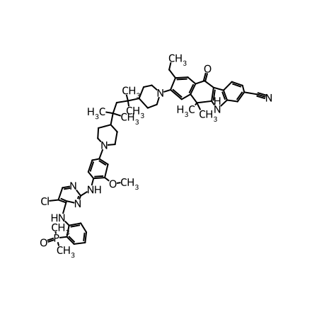 CCc1cc2c(cc1N1CCC(C(C)(C)CC(C)(C)C3CCN(c4ccc(Nc5ncc(Cl)c(Nc6ccccc6P(C)(C)=O)n5)c(OC)c4)CC3)CC1)C(C)(C)c1[nH]c3cc(C#N)ccc3c1C2=O